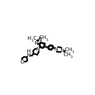 Cc1nc2c(N3CCC(CNC4CCOCC4)CC3)cc(-c3ccc(N4CCN(C(C)C)CC4)cc3)cc2n1C